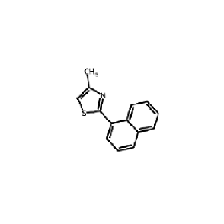 Cc1csc(-c2cccc3ccccc23)n1